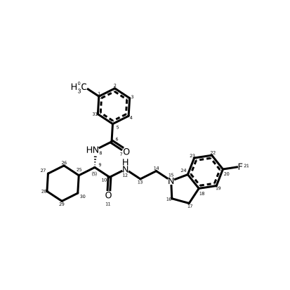 Cc1cccc(C(=O)N[C@H](C(=O)NCCN2CCc3cc(F)ccc32)C2CCCCC2)c1